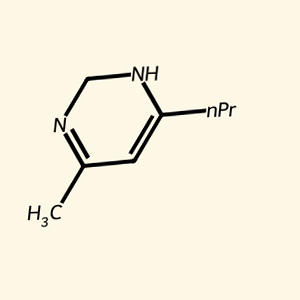 CCCC1=CC(C)=NCN1